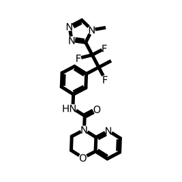 Cn1cnnc1C(F)(F)C(C)(F)c1cccc(NC(=O)N2CCOc3cccnc32)c1